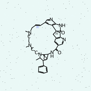 CC1C(c2ccccc2)CC2NC(=O)c3cnc4c(c3)C[C@@]3(C4)C(=O)Nc4ncc(cc43)/C=C/CN(C)CCN(C)CCN1C2=O